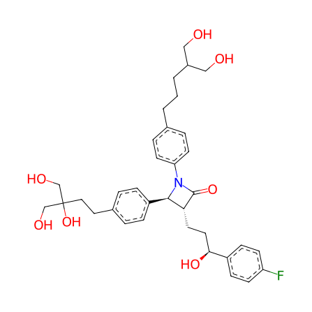 O=C1[C@H](CC[C@H](O)c2ccc(F)cc2)[C@@H](c2ccc(CCC(O)(CO)CO)cc2)N1c1ccc(CCCC(CO)CO)cc1